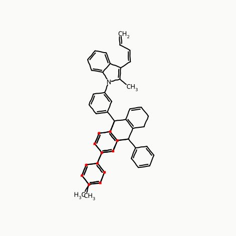 C=C/C=C\c1c(C)n(-c2cccc(C34C5=C(CCC=C5)C(c5ccccc5)(c5cc(-c6ccc(C)cc6)ccc53)c3cc(-c5ccc(C)cc5)ccc34)c2)c2ccccc12